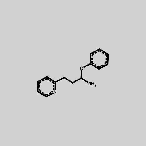 NC(CCc1ccccn1)Oc1ccccc1